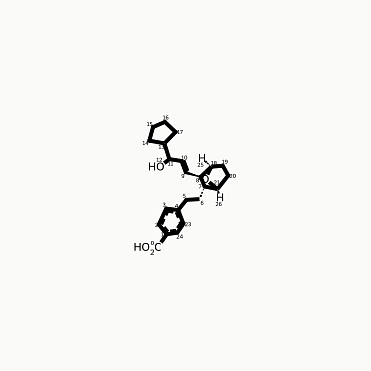 O=C(O)c1ccc(CC[C@@H]2[C@@H](/C=C/C(O)C3CCCC3)[C@H]3CC[C@@H]2O3)cc1